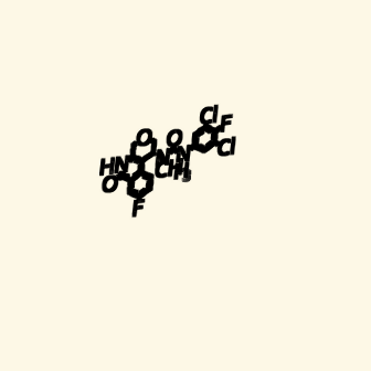 CN(C(=O)Nc1cc(Cl)c(F)c(Cl)c1)[C@H]1COCc2[nH]c(=O)c3cc(F)ccc3c21